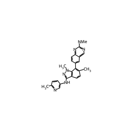 CNc1ncc2cc(-c3c(C)ccc4c(Nc5ccc(C)nc5)nn(C)c34)ccc2n1